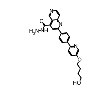 NNC(=O)c1cc(-c2ccc(-c3ccc(OCCCCO)cn3)cc2)nc2ccncc12